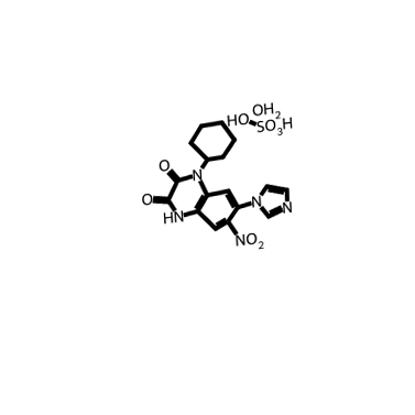 O.O=S(=O)(O)O.O=c1[nH]c2cc([N+](=O)[O-])c(-n3ccnc3)cc2n(C2CCCCC2)c1=O